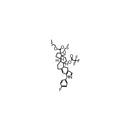 CSCOC(=O)[C@@]1(OCSC)CC[C@H]2[C@@H]3CCC4=Cc5c(cnn5-c5ccc(F)cc5)C[C@]4(C)[C@H]3[C@@H](OC(=O)C(F)(F)F)CC21C